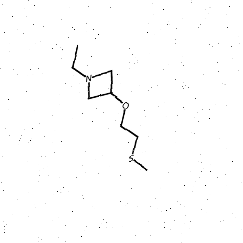 CCN1CC(OCCSC)C1